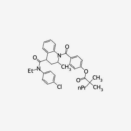 CCCC(C)(C)C(=O)Oc1ccc(C(=O)N2c3ccccc3C(C(=O)N(CC)c3ccc(Cl)cc3)CC2C)cc1